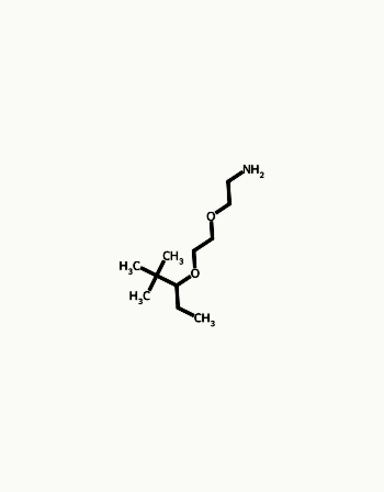 CCC(OCCOCCN)C(C)(C)C